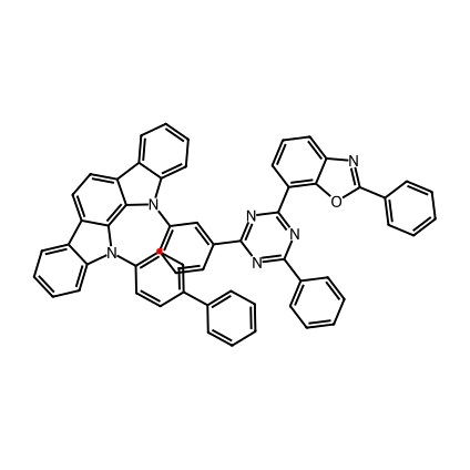 c1ccc(-c2ccc(-n3c4ccccc4c4ccc5c6ccccc6n(-c6cccc(-c7nc(-c8ccccc8)nc(-c8cccc9nc(-c%10ccccc%10)oc89)n7)c6)c5c43)cc2)cc1